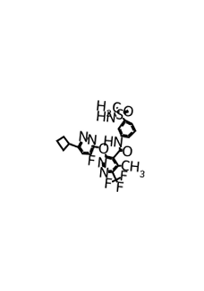 Cc1c(C(F)(F)F)nnc(Oc2nnc(C3CCC3)cc2F)c1C(=O)Nc1cccc(S(C)(=N)=O)c1